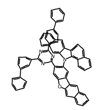 c1ccc(-c2ccc(-c3nc(-c4cccc(-c5ccccc5)c4)nc(-c4cc5oc6cc7ccccc7cc6c5cc4-n4c5cc6ccccc6cc5c5ccc6ccccc6c54)n3)cc2)cc1